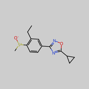 CCc1cc(-c2noc(C3CC3)n2)ccc1[S+](C)[O-]